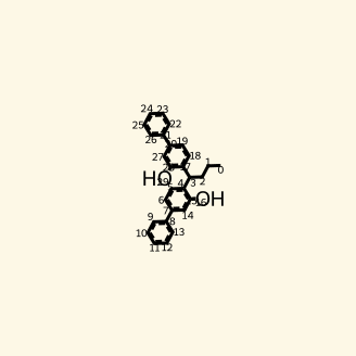 CCCC(c1ccc(-c2ccccc2)cc1O)c1ccc(-c2ccccc2)cc1O